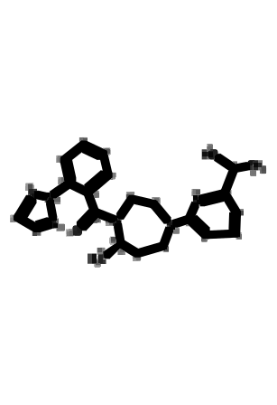 CC(O)c1cccc(N2CC[C@@H](C)N(C(=O)c3ccccc3-n3nccn3)CC2)n1